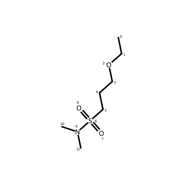 CCOCCCS(=O)(=O)N(C)C